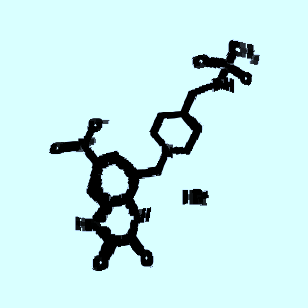 Br.CS(=O)(=O)NCC1CCN(Cc2cc([N+](=O)[O-])cc3[nH]c(=O)c(=O)[nH]c23)CC1